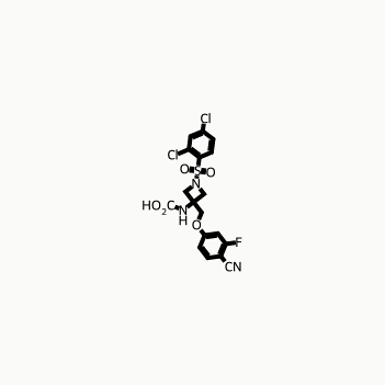 N#Cc1ccc(OCC2(NC(=O)O)CN(S(=O)(=O)c3ccc(Cl)cc3Cl)C2)cc1F